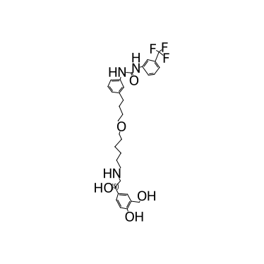 O=C(Nc1cccc(CCCCOCCCCCCNC[C@@H](O)c2ccc(O)c(CO)c2)c1)Nc1cccc(C(F)(F)F)c1